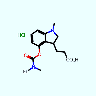 CCN(C)C(=O)Oc1cccc2c1C(CCC(=O)O)CN2C.Cl